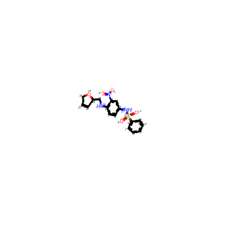 O=[N+]([O-])c1cc(NS(=O)(=O)c2ccccc2)ccc1NCC1CCCO1